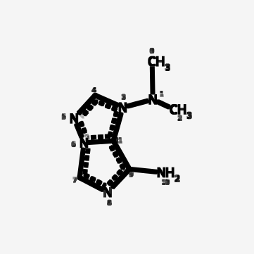 CN(C)n1cnn2cnc(N)c12